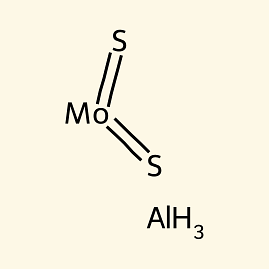 [AlH3].[S]=[Mo]=[S]